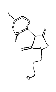 Cc1ccc(C2C(=O)CC(CCCCl)C2=O)c(C)c1